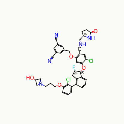 N#Cc1cc(C#N)cc(COc2cc(O[C@@H]3c4cccc(-c5cccc(OCCCN6CC(O)C6)c5Cl)c4C[C@@H]3F)c(Cl)cc2CNC[C@H]2CCC(=O)N2)c1